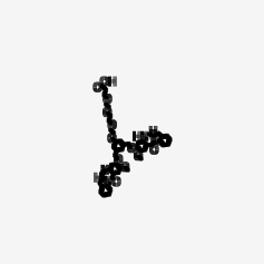 COc1cc2c(cc1OCc1cc(COc3cc4c(cc3OC)C(=O)N3c5ccccc5C[C@H]3CN4)cc(OCCOCCOCCOCCC(=O)O)c1)N=C[C@@H]1Cc3ccccc3N1C2=O